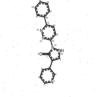 O=c1c(-c2cccnc2)c[nH]n1-c1ccc(-c2ccccc2)nn1